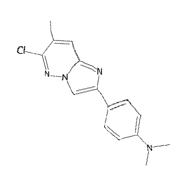 Cc1cc2nc(-c3ccc(N(C)C)cc3)cn2nc1Cl